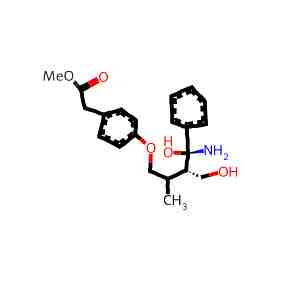 COC(=O)Cc1ccc(OCC(C)[C@@H](CO)[C@](N)(O)c2ccccc2)cc1